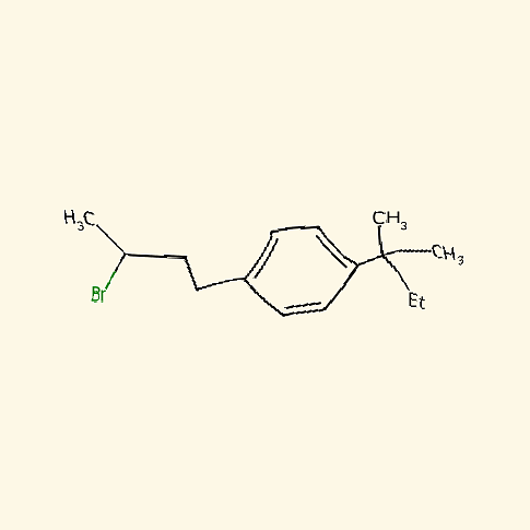 CCC(C)(C)c1ccc(CCC(C)Br)cc1